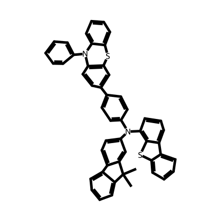 CC1(C)c2ccccc2-c2ccc(N(c3ccc(-c4ccc5c(c4)Sc4ccccc4N5c4ccccc4)cc3)c3cccc4c3sc3ccccc34)cc21